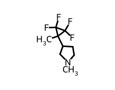 CN1CCC(C2(C)C(F)(F)C2(F)F)C1